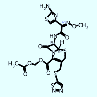 CO/N=C(\C(=O)N[C@@H]1C(=O)N2C(C(=O)OCOC(C)=O)=C(CSc3cnns3)CS[C@@H]12)c1csc(N)n1